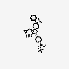 CN(C)[C@]1(c2ccccc2)CC[C@]2(CC1)CN(C1CCN(C(=O)OC(C)(C)C)CC1)C(O)N2CC1CC1